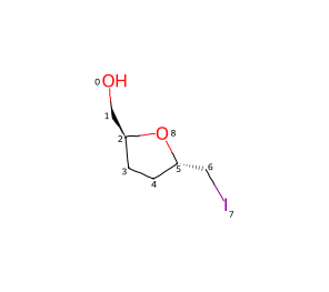 OC[C@@H]1CC[C@@H](CI)O1